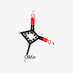 COc1cc(=O)c1=O